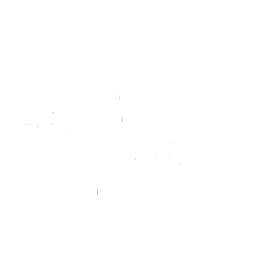 C=C(C)C(=O)O.C=C(C)C(=O)OCCOCCOC(COCC)CC(=C)C(=O)OCCc1ccccc1